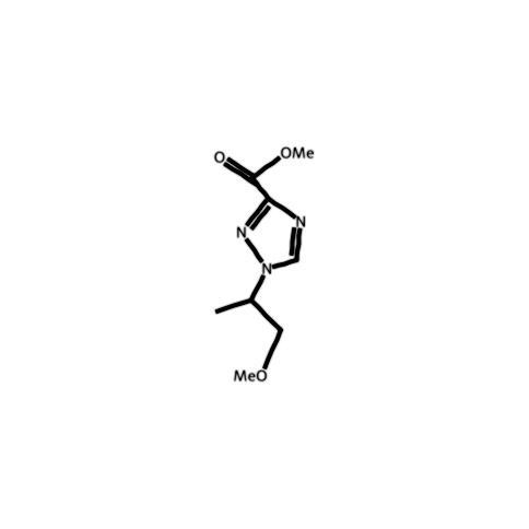 COCC(C)n1cnc(C(=O)OC)n1